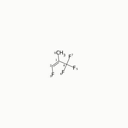 CC(=CF)C(F)(F)F